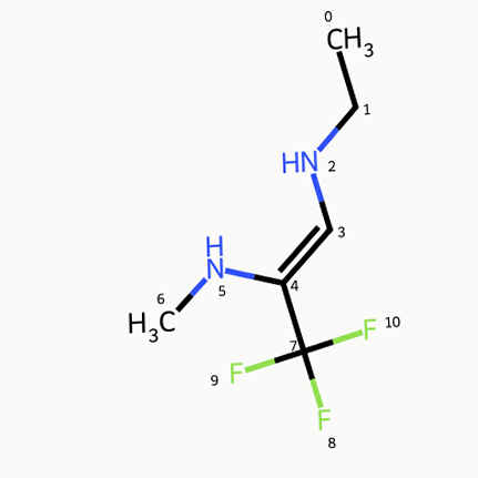 CCN/C=C(\NC)C(F)(F)F